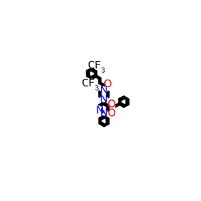 O=C(CCc1cc(C(F)(F)F)ccc1C(F)(F)F)N1CCN(c2cnn(-c3ccccc3)c(=O)c2OCc2ccccc2)CC1